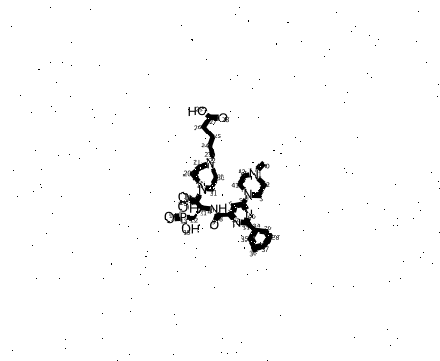 CN1CCN(c2cc(C(=O)N[C@@H](CP(=O)(O)O)C(=O)N3CCN(CCCCC(=O)O)CC3)nc(-c3ccccc3)n2)CC1